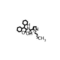 CSCCn1nccc1C(=O)NC(C(=O)O)C(C1CCCCC1)C1CCCCC1